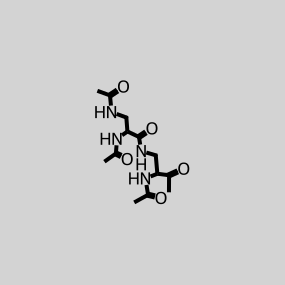 CC(=O)NCC(NC(C)=O)C(=O)NCC(NC(C)=O)C(C)=O